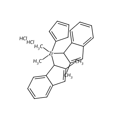 CC1=Cc2ccccc2[CH]1[Zr]([CH3])([CH3])([C]1=CC=CC1)[CH]1C(C)=Cc2ccccc21.Cl.Cl